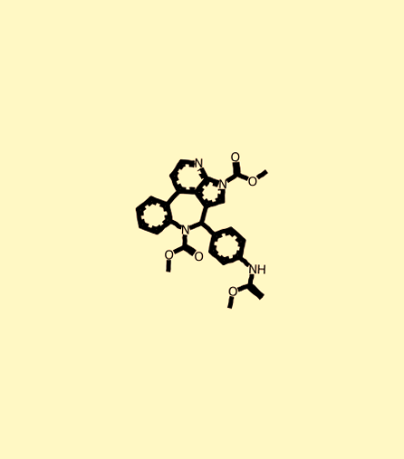 C=C(Nc1ccc(C2c3cn(C(=O)OC)c4nccc(c34)-c3ccccc3N2C(=O)OC)cc1)OC